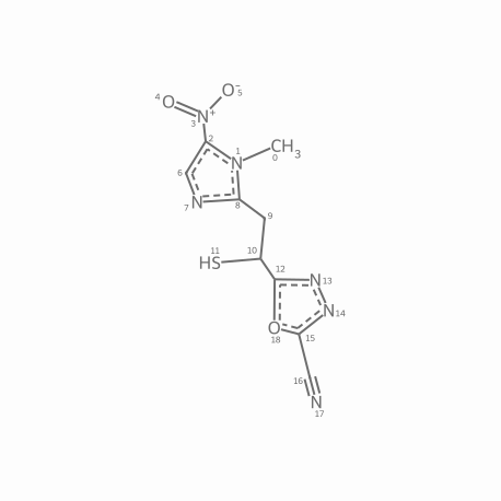 Cn1c([N+](=O)[O-])cnc1CC(S)c1nnc(C#N)o1